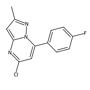 Cc1cc2nc(Cl)cc(-c3ccc(F)cc3)n2n1